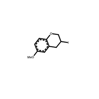 COc1ccc2c(c1)CC(I)CO2